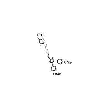 COc1ccc(-c2nc(SCCCCOc3ccc(CC(=O)O)cc3Cl)sc2-c2ccc(OC)cc2)cc1